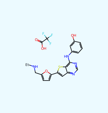 CCNCc1ccc(-c2cc3ncnc(Nc4cccc(O)c4)c3s2)o1.O=C(O)C(F)(F)F